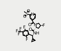 CS(=O)(=O)c1cc(C(=O)N2C[C@@H](F)C[C@@H]2C(=O)N[C@H](C2=CC2)c2cc(F)c(C(F)(F)F)cc2F)ccn1